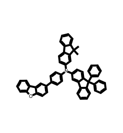 CC1(C)c2ccccc2-c2ccc(N(c3ccc(-c4ccc5oc6ccccc6c5c4)cc3)c3ccc4c(c3)-c3ccccc3C4(c3ccccc3)c3ccccc3)cc21